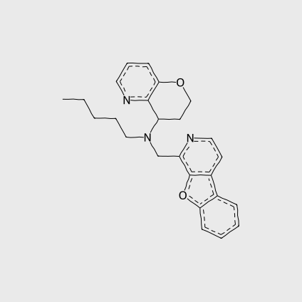 CCCCCN(Cc1nccc2c1oc1ccccc12)C1CCOc2cccnc21